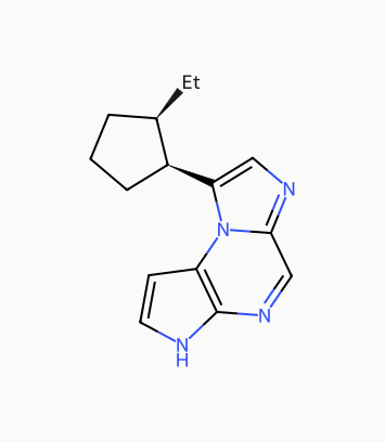 CC[C@@H]1CCC[C@@H]1c1cnc2cnc3[nH]ccc3n12